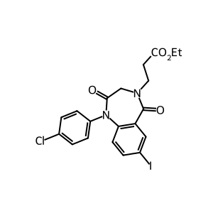 CCOC(=O)CCN1CC(=O)N(c2ccc(Cl)cc2)c2ccc(I)cc2C1=O